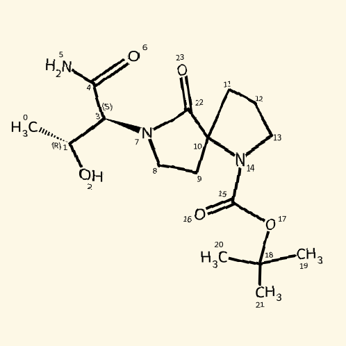 C[C@@H](O)[C@@H](C(N)=O)N1CCC2(CCCN2C(=O)OC(C)(C)C)C1=O